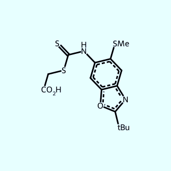 CSc1cc2nc(C(C)(C)C)oc2cc1NC(=S)SCC(=O)O